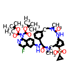 CN1CCc2cccc(c2)C(Nc2ccc3c(N(C(=O)OC(C)(C)C)C(=O)OC(C)(C)C)ncc(F)c3c2)C(=O)N(C)Cc2cc(ccc2S(=O)(=O)C2CC2)NC1=O